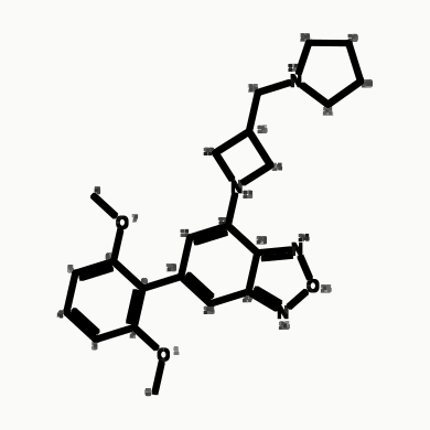 COc1cccc(OC)c1-c1cc(N2CC(CN3CCCC3)C2)c2nonc2c1